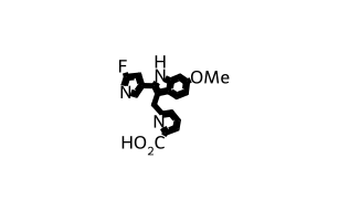 COc1ccc2c(Cc3cccc(C(=O)O)n3)c(-c3cncc(F)c3)[nH]c2c1